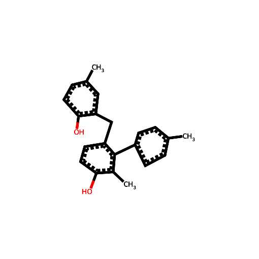 Cc1ccc(-c2c(Cc3cc(C)ccc3O)ccc(O)c2C)cc1